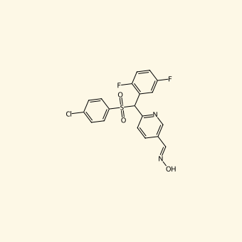 O=S(=O)(c1ccc(Cl)cc1)C(c1ccc(C=NO)cn1)c1cc(F)ccc1F